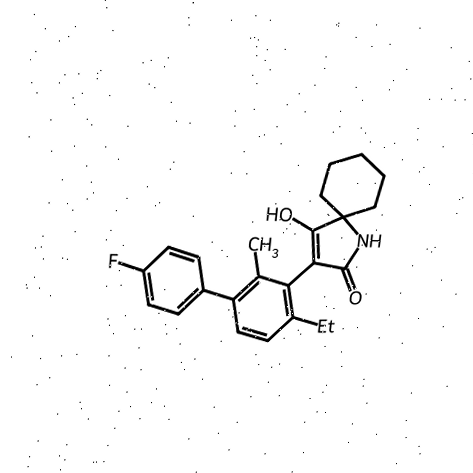 CCc1ccc(-c2ccc(F)cc2)c(C)c1C1=C(O)C2(CCCCC2)NC1=O